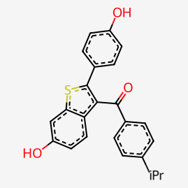 CC(C)c1ccc(C(=O)c2c(-c3ccc(O)cc3)sc3cc(O)ccc23)cc1